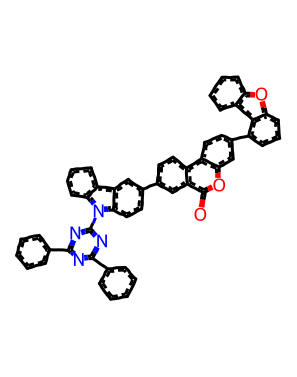 O=c1oc2cc(-c3cccc4oc5ccccc5c34)ccc2c2ccc(-c3ccc4c(c3)c3ccccc3n4-c3nc(-c4ccccc4)nc(-c4ccccc4)n3)cc12